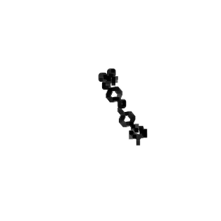 Cc1ncn(-c2ccc(COc3ccc(OS(=O)(=O)F)cc3)cc2)n1